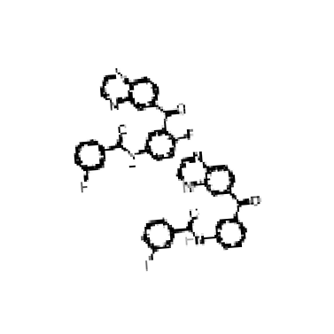 O=C(Nc1ccc(F)c(C(=O)c2ccc3nccnc3c2)c1)c1cccc(F)c1.O=C(Nc1cccc(C(=O)c2ccc3nccnc3c2)c1)c1cccc(F)c1